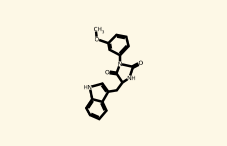 COc1cccc(N2C(=O)NC(Cc3c[nH]c4ccccc34)C2=O)c1